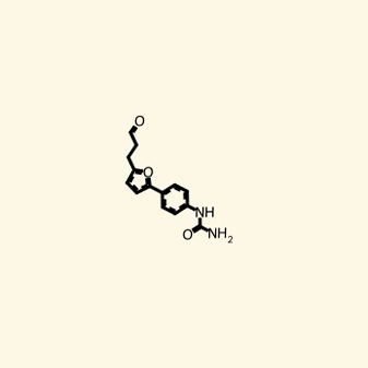 NC(=O)Nc1ccc(-c2ccc(CCC=O)o2)cc1